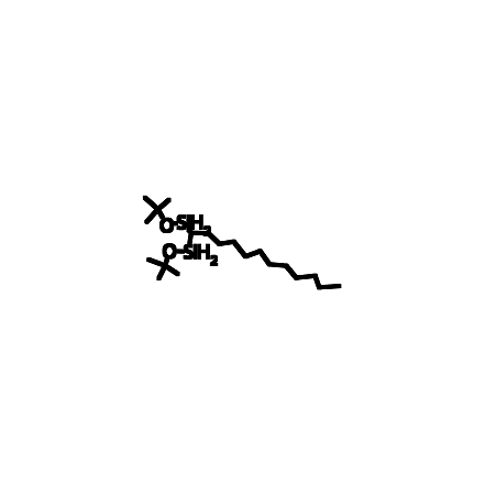 CCCCCCCCCCCC([SiH2]OC(C)(C)C)[SiH2]OC(C)(C)C